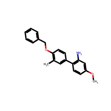 COc1ccc(-c2ccc(OCc3ccccc3)c(C)c2)c(N)c1